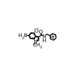 Bc1cc(Cl)c2c(C(=O)NCC34CCC(CC3)CC4)cn(C)c2c1